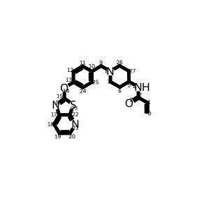 C=CC(=O)NC1CCN(Cc2ccc(Oc3nc4cccnc4s3)cc2)CC1